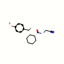 COc1ccc(C(S)[C@H]2CCCC[C@@H]2C(=O)NCC#N)cc1